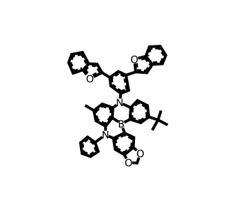 Cc1cc2c3c(c1)N(c1ccccc1)c1cc4c(cc1B3c1cc(C(C)(C)C)ccc1N2c1cc(-c2cc3ccccc3o2)cc(-c2cc3ccccc3o2)c1)OCO4